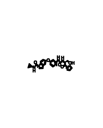 O=C(Nc1cc(Oc2ccc3c(ccn3C(=O)NC3CC3)c2)ccn1)N[C@@H](CO)C(=O)N1CCCC1